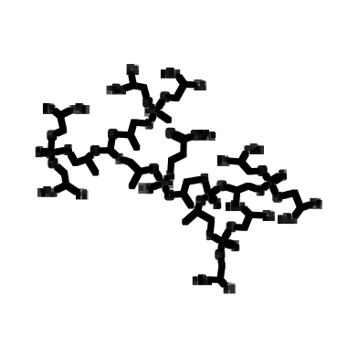 CCCCC(CC)COP(=S)(OCC(CC)CCCC)SCC(C)OC(OC(C)CS[PH](C)(OCC(CC)CCCC)OCC(CC)CCCC)SCC(C)O[PH](S)(OC(C)CSP(=S)(OC(C)CSP(=S)(OCC(CC)CCCC)OCC(CC)CCCC)OC(C)CSP(=S)(OCC(CC)CCCC)OCC(CC)CCCC)SCCC(=O)OC